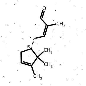 CC(C=O)=CC[C@H]1CC=C(C)C1(C)C